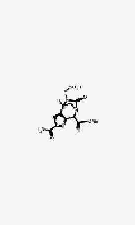 COC(=O)C1c2sc(C(N)=O)cc2[C@H]2CN1C(=O)N2OS(=O)(=O)O